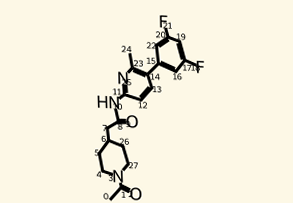 CC(=O)N1CCC(CC(=O)Nc2ccc(-c3cc(F)cc(F)c3)c(C)n2)CC1